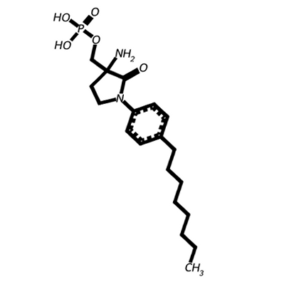 CCCCCCCCc1ccc(N2CCC(N)(COP(=O)(O)O)C2=O)cc1